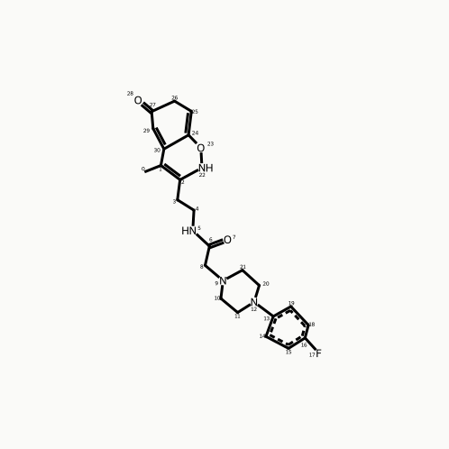 CC1=C(CCNC(=O)CN2CCN(c3ccc(F)cc3)CC2)NOC2=CCC(=O)C=C21